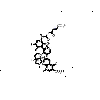 CN1C[C@@H]2CCN(c3c(-c4cnc5c(c4)c(=O)c(C(=O)O)cn5C)cnc4[nH]c5c(N(C)C(=O)OC(=O)/C=C/C(=O)O)cc(F)c(F)c5c34)[C@@H]2C1